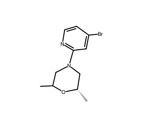 CC1CN(c2cc(Br)ccn2)C[C@H](C)O1